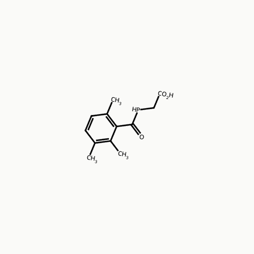 Cc1ccc(C)c(C(=O)PCC(=O)O)c1C